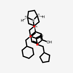 O=C(CCC1CCCC1)N(CCN1[C@@H]2CC[C@H]1C[C@@H](c1cccc(O)c1)C2)CC1CCCCC1